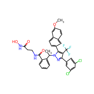 COc1ccc2cc(-c3c(C(F)(F)F)c(-c4cc(Cl)cc(Cl)c4)nn3C(C)c3ccccc3C(=O)NCCC(=O)NO)ccc2c1